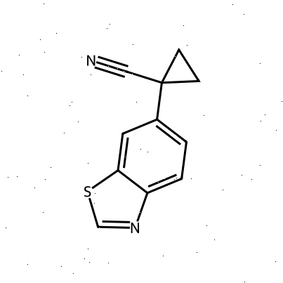 N#CC1(c2ccc3ncsc3c2)CC1